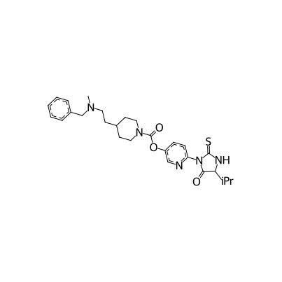 CC(C)C1NC(=S)N(c2ccc(OC(=O)N3CCC(CCN(C)Cc4ccccc4)CC3)cn2)C1=O